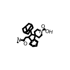 CN(C)C(=O)CC1c2ccccc2C2(CCN(C(=O)O)CC2)C1C12CC3CC(CC(C3)C1)C2